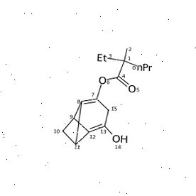 CCCC(C)(CC)C(=O)OC1=C2C3CC2C3=C(O)C1